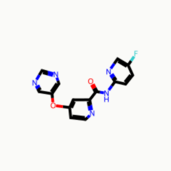 O=C(Nc1ccc(F)cn1)c1cc(Oc2cncnc2)ccn1